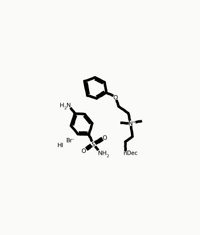 CCCCCCCCCCCC[N+](C)(C)CCOc1ccccc1.I.Nc1ccc(S(N)(=O)=O)cc1.[Br-]